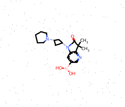 CC1(C)C(=O)N([C@H]2C[C@@H](N3CCCCC3)C2)c2cc(B(O)O)cnc21